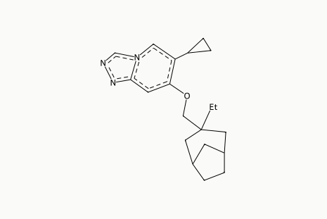 CCC1(COc2cc3nncn3cc2C2CC2)CC2CCC(C2)C1